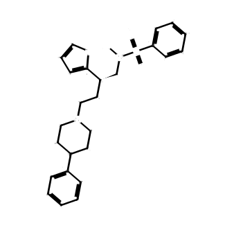 CN(C[C@@H](CCN1CCC(c2ccccc2)CC1)c1cccs1)S(=O)(=O)c1ccccc1